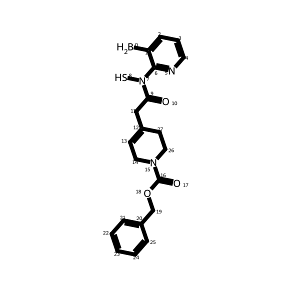 Bc1cccnc1N(S)C(=O)CC1=CCN(C(=O)OCc2ccccc2)CC1